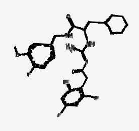 COc1cc(CNC(=O)C(CC2CCCCC2)NC(N)=NC(=O)Cc2c(F)cc(F)cc2F)ccc1F